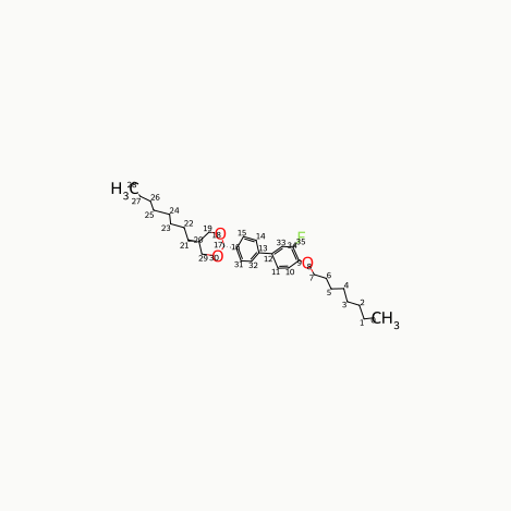 CCCCCCCCOc1ccc(-c2ccc([C@H]3OC[C@H](CCCCCCCC)CO3)cc2)cc1F